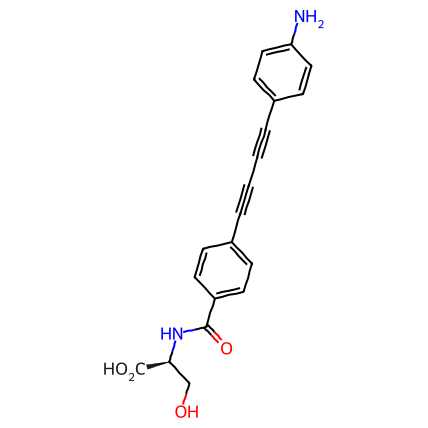 Nc1ccc(C#CC#Cc2ccc(C(=O)N[C@@H](CO)C(=O)O)cc2)cc1